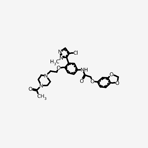 CC(=O)N1CCN(CCOc2ccc(NC(=O)COc3ccc4c(c3)OCO4)cc2-c2c(Cl)cnn2C)CC1